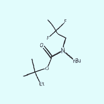 CCCCN(CC(C)(F)F)C(=O)OC(C)(C)CC